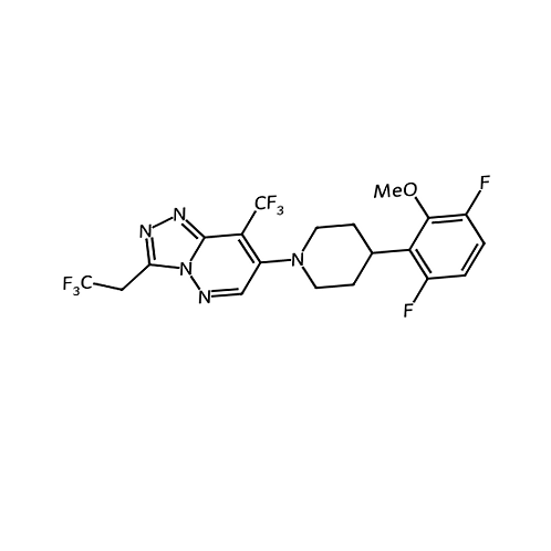 COc1c(F)ccc(F)c1C1CCN(c2cnn3c(CC(F)(F)F)nnc3c2C(F)(F)F)CC1